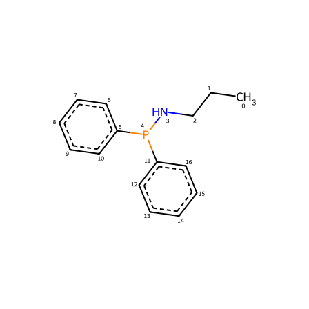 CCCNP(c1ccccc1)c1ccccc1